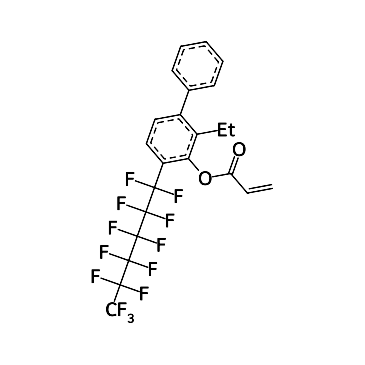 C=CC(=O)Oc1c(C(F)(F)C(F)(F)C(F)(F)C(F)(F)C(F)(F)C(F)(F)F)ccc(-c2ccccc2)c1CC